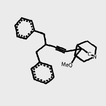 COC1(C#CC(Cc2ccccc2)Cc2ccccc2)CN2CCC1CC2